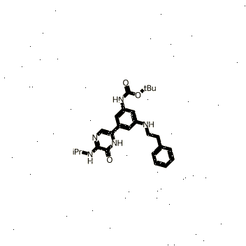 CC(C)Nc1ncc(-c2cc(NCCc3ccccc3)cc(NC(=O)OC(C)(C)C)c2)[nH]c1=O